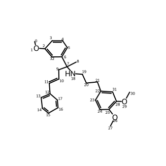 COc1cccc(C(C)(CC=Cc2ccccc2)NCCCc2ccc(OC)c(OC)c2)c1